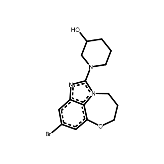 OC1CCCN(c2nc3cc(Br)cc4c3n2CCCO4)C1